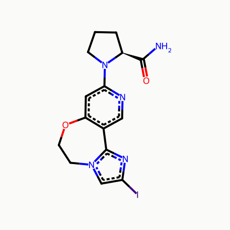 NC(=O)[C@@H]1CCCN1c1cc2c(cn1)-c1nc(I)cn1CCO2